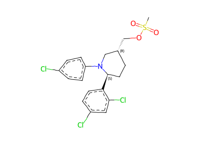 CS(=O)(=O)OC[C@@H]1CC[C@@H](c2ccc(Cl)cc2Cl)N(c2ccc(Cl)cc2)C1